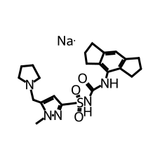 Cn1nc(S(=O)(=O)NC(=O)Nc2c3c(cc4c2CCC4)CCC3)cc1CN1CCCC1.[Na]